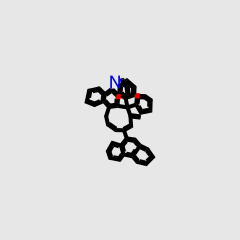 C=C1/C=C(c2cc3ccccc3c3ccccc23)\C=C/Cc2c(c3cccnc3c3ccccc23)C1(c1ccccc1)c1ccccc1